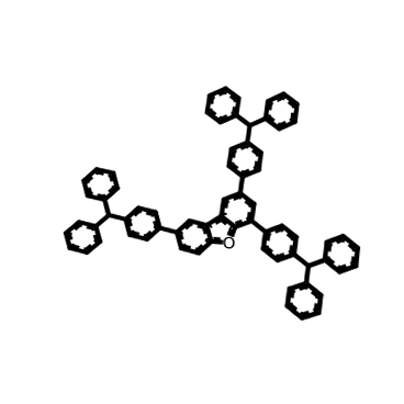 c1ccc(C(c2ccccc2)c2ccc(-c3ccc4oc5c(-c6ccc(C(c7ccccc7)c7ccccc7)cc6)cc(-c6ccc(C(c7ccccc7)c7ccccc7)cc6)cc5c4c3)cc2)cc1